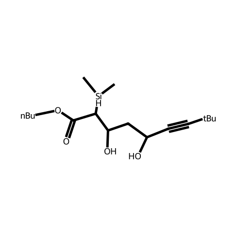 CCCCOC(=O)C(C(O)CC(O)C#CC(C)(C)C)[SiH](C)C